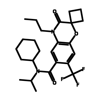 CCCN1C(=O)C2(CCC2)Oc2cc(C(F)(F)F)c(C(=O)N(C(C)C)C3CCCCC3)cc21